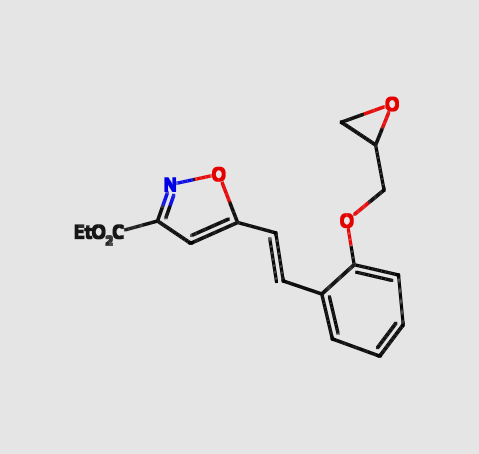 CCOC(=O)c1cc(C=Cc2ccccc2OCC2CO2)on1